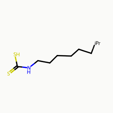 CC(C)CCCCCCNC(=S)S